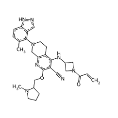 C=CC(=O)N1CC(Nc2c(C#N)c(OCC3CCCN3C)nc3c2CCN(c2c(C)ccc4[nH]ncc24)C3)C1